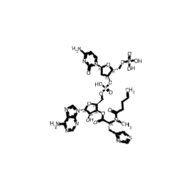 C=CCCC(=O)N(C)[C@H](Cc1cscn1)C(=O)O[C@H]1[C@@H](O)[C@H](n2cnc3c(N)ncnc32)O[C@H]1COP(=O)(O)O[C@H]1C[C@@H](n2ccc(N)nc2=O)O[C@@H]1COP(=O)(O)O